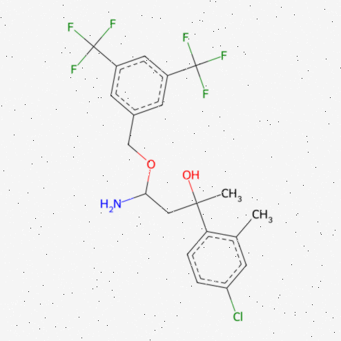 Cc1cc(Cl)ccc1C(C)(O)CC(N)OCc1cc(C(F)(F)F)cc(C(F)(F)F)c1